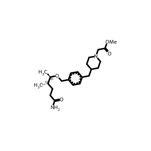 COC(=O)CN1CCC(Cc2ccc(CO[C@H](C)[C@@H](C)CCC(N)=O)cc2)CC1